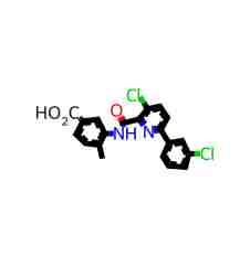 Cc1ccc(C(=O)O)cc1NC(=O)c1nc(-c2cccc(Cl)c2)ccc1Cl